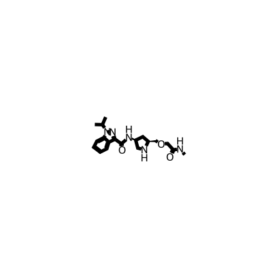 CNC(=O)COC[C@@H]1C[C@H](NC(=O)c2nn(C(C)C)c3ccccc23)CN1